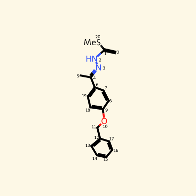 C=C(N/N=C(\C)c1ccc(OCc2ccccc2)cc1)SC